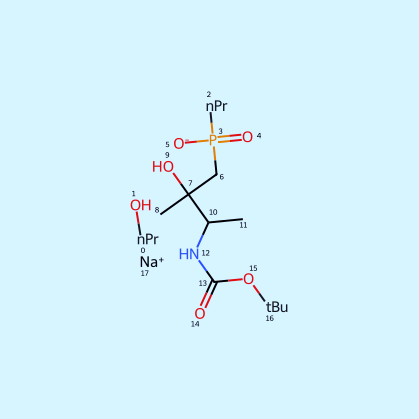 CCCO.CCCP(=O)([O-])CC(C)(O)C(C)NC(=O)OC(C)(C)C.[Na+]